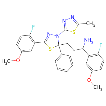 COc1ccc(F)c(C2=NN(c3nnc(C)s3)C(CCC(N)c3cc(OC)ccc3F)(c3ccccc3)S2)c1